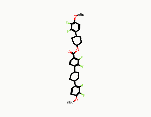 CCCCOc1ccc(C2CCC(OC(=O)c3ccc(C4CCC(c5ccc(OCCCC)c(F)c5F)CC4)c(F)c3F)CC2)c(F)c1F